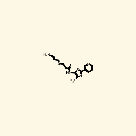 Cc1nc(-c2cccnc2)sc1NC(=O)CCSCC=CN